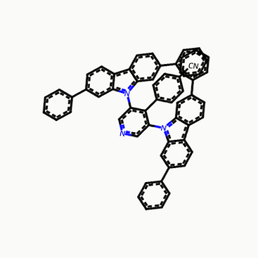 N#Cc1ccc(-c2c(-n3c4cc(-c5ccccc5)ccc4c4ccc(-c5ccccc5)cc43)cncc2-n2c3cc(-c4ccccc4)ccc3c3ccc(-c4ccccc4)cc32)cc1